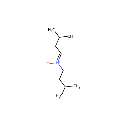 CC(C)C/C=[N+](\[O-])CCC(C)C